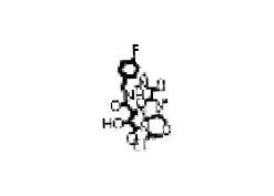 CC[C@@H]1COC[C@@H](N(C)C(=O)C(=O)N(C)C)c2nc(C(=O)NCc3ccc(F)cc3)c(O)c(=O)n21